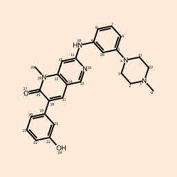 CN1CCN(c2cccc(Nc3cc4c(cn3)cc(-c3cccc(O)c3)c(=O)n4C)c2)CC1